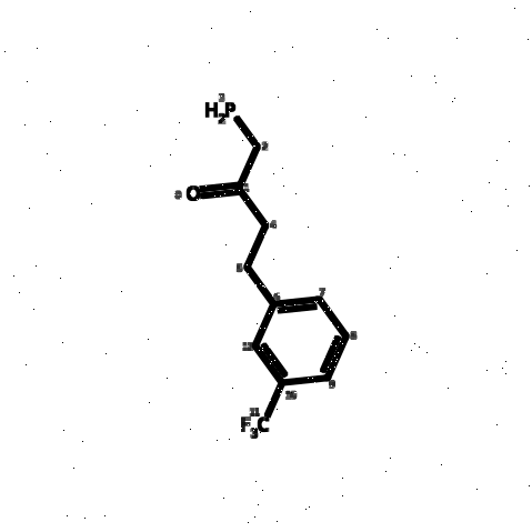 O=C(CP)CCc1cccc(C(F)(F)F)c1